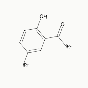 CC(C)C(=O)c1cc(C(C)C)ccc1O